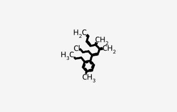 C=C/C=C\C(=C)C(=C)/C=C(\CCCl)c1ccc(C)cc1CCC